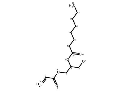 C=CC(=O)OCC(C[O])OC(=O)CCCCCCC